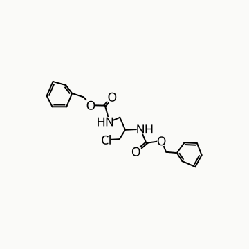 O=C(NCC(CCl)NC(=O)OCc1ccccc1)OCc1ccccc1